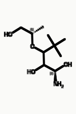 C[C@@H](CO)OC(C(O)[C@H](N)O)C(C)(C)C